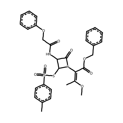 COC(C)=C(C(=O)OCc1ccccc1)N1C(=O)C(NC(=O)COc2ccccc2)C1SS(=O)(=O)c1ccc(C)cc1